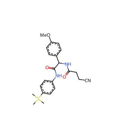 COc1ccc(C(NC(=O)CCC#N)C(=O)Nc2ccc(S(C)(C)C)cc2)cc1